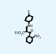 CCOC(=O)C(=CNc1ccc(F)cc1)C(=O)c1ccccc1[N+](=O)[O-]